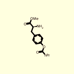 CCCC(=O)Oc1ccc(C[C@H](N)C(=O)OC)cc1